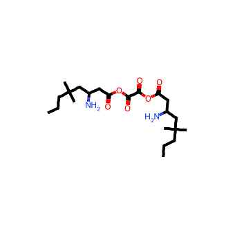 CCCC(C)(C)CC(N)CC(=O)OC(=O)C(=O)OC(=O)CC(N)CC(C)(C)CCC